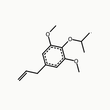 [CH2]C(C)Oc1c(OC)cc(CC=C)cc1OC